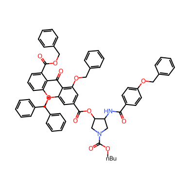 CCCCOC(=O)N1CC(NC(=O)c2ccc(OCc3ccccc3)cc2)C(OC(=O)c2cc(OCc3ccccc3)c(C(=O)c3c(OCc4ccccc4)cccc3C(=O)OCc3ccccc3)c(OCc3ccccc3)c2)C1